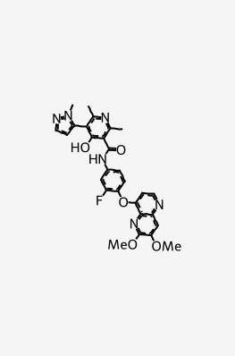 COc1cc2nccc(Oc3ccc(NC(=O)c4c(C)nc(C)c(-c5ccnn5C)c4O)cc3F)c2nc1OC